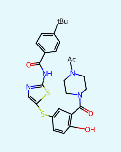 CC(=O)N1CCN(C(=O)c2cc(Sc3cnc(NC(=O)c4ccc(C(C)(C)C)cc4)s3)ccc2O)CC1